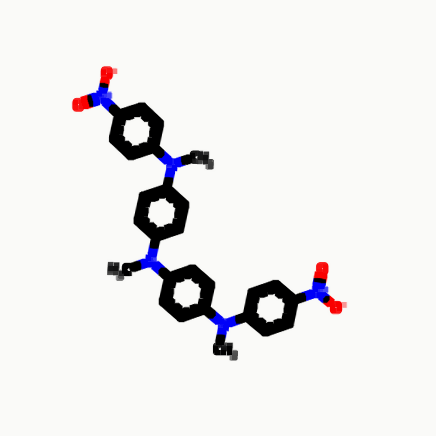 CN(c1ccc(N(C)c2ccc([N+](=O)[O-])cc2)cc1)c1ccc(N(C)c2ccc([N+](=O)[O-])cc2)cc1